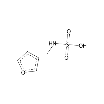 CNS(=O)(=O)O.c1ccoc1